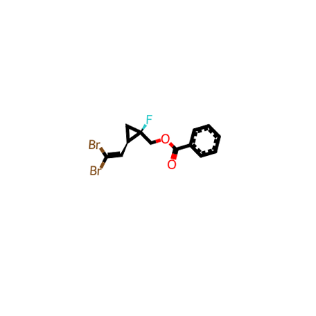 O=C(OC[C@@]1(F)C[C@@H]1C=C(Br)Br)c1ccccc1